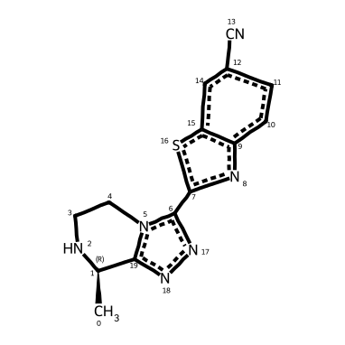 C[C@H]1NCCn2c(-c3nc4ccc(C#N)cc4s3)nnc21